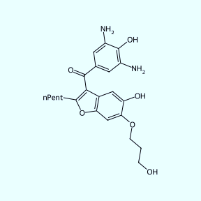 CCCCCc1oc2cc(OCCCO)c(O)cc2c1C(=O)c1cc(N)c(O)c(N)c1